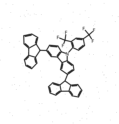 FC(F)(F)c1ccc(-n2c3ccc(C4c5ccccc5-c5ccccc54)cc3c3cc(C4c5ccccc5-c5ccccc54)ccc32)c(C(F)(F)F)c1